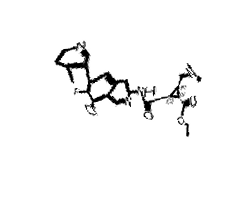 CCOC(=O)[C@H]1[C@H](CN(C)C)[C@@H]1C(=O)Nc1cc2cc(-c3cnccc3C)c(F)c(Cl)c2cn1